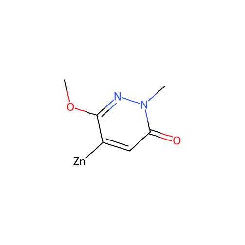 COc1nn(C)c(=O)c[c]1[Zn]